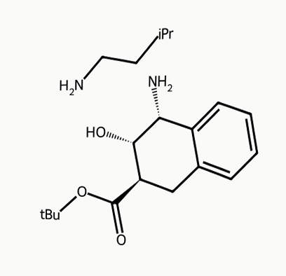 CC(C)(C)OC(=O)[C@@H]1Cc2ccccc2[C@@H](N)[C@H]1O.CC(C)CCN